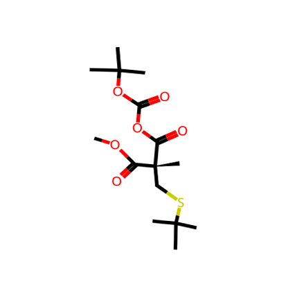 COC(=O)[C@@](C)(CSC(C)(C)C)C(=O)OC(=O)OC(C)(C)C